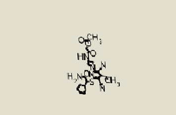 CCc1c(C#N)c(SC(C(N)=O)c2ccccc2)nc(N2CC(NC(=O)COC(C)=O)C2)c1C#N